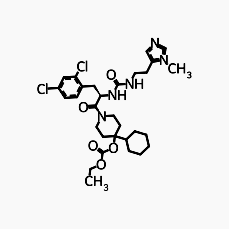 CCOC(=O)OC1(C2CCCCC2)CCN(C(=O)[C@@H](Cc2ccc(Cl)cc2Cl)NC(=O)NCCc2cncn2C)CC1